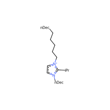 CCCCCCCCCCCCCCC[n+]1ccn(CCCCCCCCCC)c1C(C)C